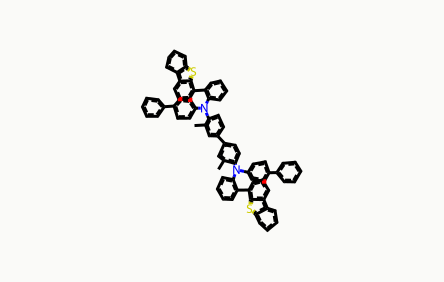 Cc1cc(-c2ccc(N(c3ccc(-c4ccccc4)cc3)c3ccccc3-c3cccc4c3sc3ccccc34)c(C)c2)ccc1N(c1ccc(-c2ccccc2)cc1)c1ccccc1-c1cccc2c1sc1ccccc12